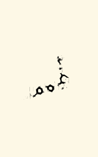 CC(C)(C)NC(=O)c1cccc(Oc2ccc(Nc3ncnc4c3C=C(/C=N/OCCS(C)(=O)=O)CCN4)cc2Cl)c1